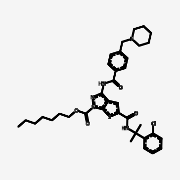 CCCCCCCOC(=O)n1nc(NC(=O)c2ccc(CN3CCCCC3)cc2)c2cc(C(=O)NC(C)(C)c3ccccc3Cl)sc21